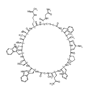 CCCC[C@H]1C(=O)N(C)[C@@H](CCCC)C(=O)N[C@@H](CCCNC(C)=N)C(=O)N[C@H](C(=O)NCC(N)=O)CSCC(=O)N[C@@H](Cc2ccccc2)C(=O)N(C)[C@@H](C)C(=O)N[C@@H](CC(N)=O)C(=O)N2CCC[C@H]2C(=O)N[C@@H](Cc2cnc[nH]2)C(=O)N[C@@H](CCC(N)=O)C(=O)N(C)CC(=O)N[C@@H](Cc2c[nH]c3ccccc23)C(=O)N[C@@H](CO)C(=O)N[C@@H](Cc2c[nH]c3ccccc23)C(=O)N1C